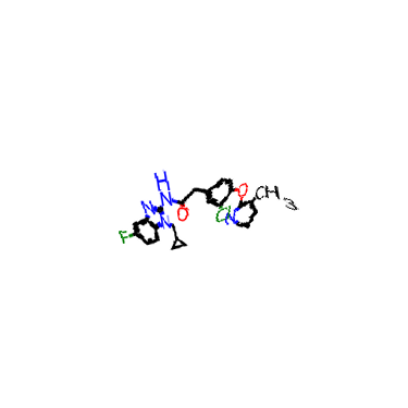 Cc1cccnc1Oc1ccc(CC(=O)Nc2nc3cc(F)ccc3n2CC2CC2)cc1Cl